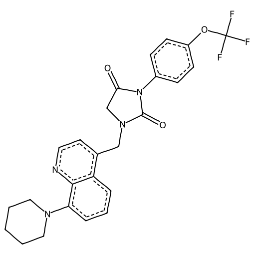 O=C1CN(Cc2ccnc3c(N4CCCCC4)cccc23)C(=O)N1c1ccc(OC(F)(F)F)cc1